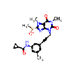 Cn1c(=O)c2c(nc([S+](C)[O-])n2C)n(CC#Cc2cc(NC(=O)C3CC3)cc(C(F)(F)F)c2)c1=O